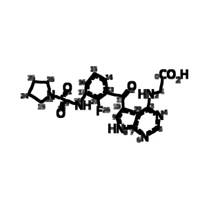 O=C(O)CNc1ncnc2[nH]cc(C(=O)c3cccc(NS(=O)(=O)N4CCCC4)c3F)c12